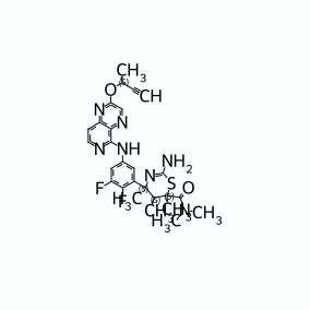 C#C[C@H](C)Oc1cnc2c(Nc3cc(F)c(F)c([C@@]4(C)N=C(N)S[C@](C)(C(=O)N(C)C)[C@H]4C)c3)nccc2n1